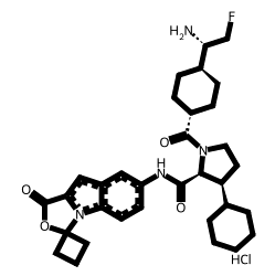 Cl.N[C@H](CF)[C@H]1CC[C@H](C(=O)N2CC[C@@H](C3CCCCC3)[C@H]2C(=O)Nc2ccc3c(c2)cc2n3C3(CCC3)OC2=O)CC1